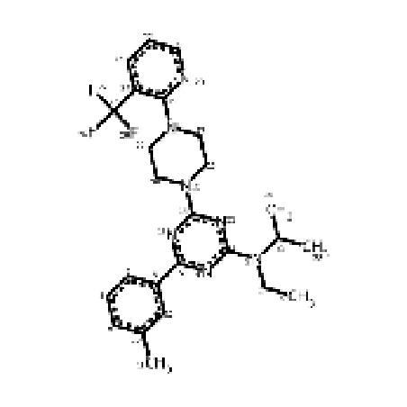 CCN(c1nc(-c2cccc(C)c2)nc(N2CCN(c3ncccc3C(F)(F)F)CC2)n1)C(C)C